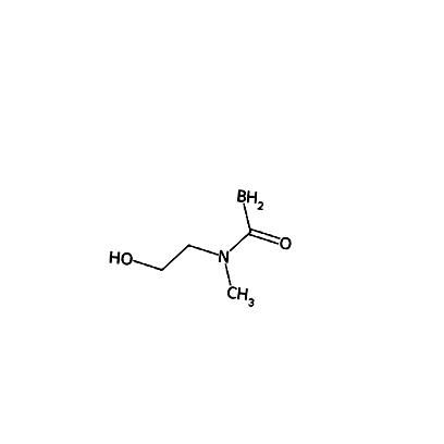 BC(=O)N(C)CCO